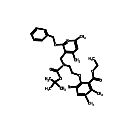 CCOC(=O)c1c(C)c(C)cc(Br)c1OCCN(Cc1c(C)cc(C)nc1OCc1ccccc1)C(=O)OC(C)(C)C